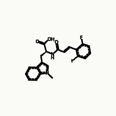 Cn1cc(C[C@H](NC(=O)/C=C/c2c(F)cccc2F)C(=O)O)c2ccccc21